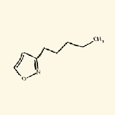 CCCCCc1ccon1